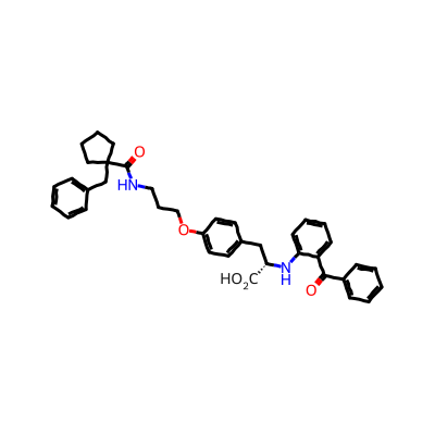 O=C(c1ccccc1)c1ccccc1N[C@@H](Cc1ccc(OCCCNC(=O)C2(Cc3ccccc3)CCCC2)cc1)C(=O)O